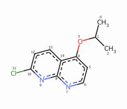 CC(C)Oc1ccnc2nc(Cl)ccc12